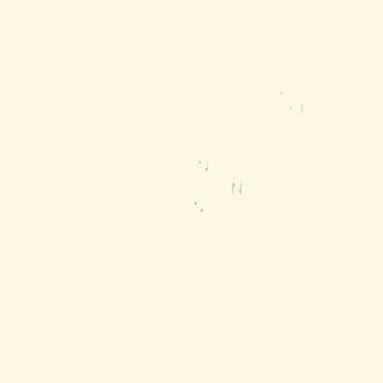 CC1(C)c2ccccc2-c2cc(-c3nc(-c4ccc(-c5ccccc5)cc4)nc(-c4ccc5c(c4)oc4cccc(-c6cccc(-c7ccccc7)c6)c45)n3)ccc21